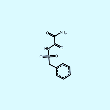 NC(=O)C(=O)NS(=O)(=O)Cc1ccccc1